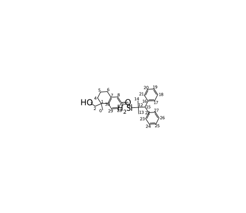 CC1(CO)CCCc2cc(O[SiH2]C(C)(C)C(c3ccccc3)c3ccccc3)ccc21